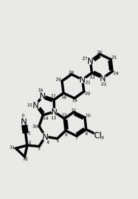 N#CC1(CN2Cc3cc(Cl)ccc3-n3c(nnc3C3CCN(c4ncccn4)CC3)C2)CC1